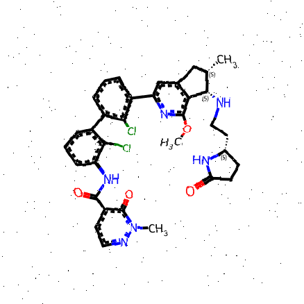 COc1nc(-c2cccc(-c3cccc(NC(=O)c4ccnn(C)c4=O)c3Cl)c2Cl)cc2c1[C@@H](NCC[C@@H]1CCC(=O)N1)[C@@H](C)C2